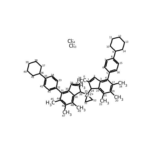 CC1=Cc2c(-c3ccc(C4CCCCC4)cc3)c(C)c(C)c(C)c2[CH]1[Zr+2]1([CH]2C(C)=Cc3c(-c4ccc(C5CCCCC5)cc4)c(C)c(C)c(C)c32)[CH2][CH2]1.[Cl-].[Cl-]